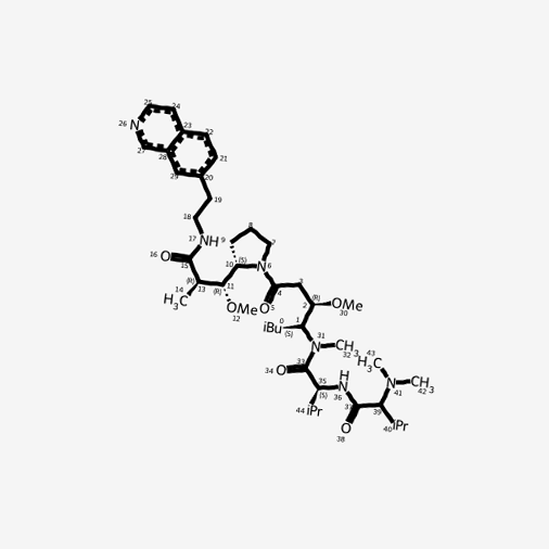 CC[C@H](C)C([C@@H](CC(=O)N1CCC[C@H]1[C@H](OC)[C@@H](C)C(=O)NCCc1ccc2ccncc2c1)OC)N(C)C(=O)[C@@H](NC(=O)C(C(C)C)N(C)C)C(C)C